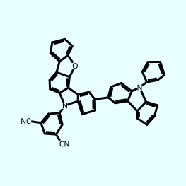 N#Cc1cc(C#N)cc(-n2c3ccc(-c4ccc5c(c4)c4ccccc4n5-c4ccccc4)cc3c3c4oc5ccccc5c4ccc32)c1